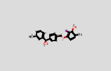 CC(=O)c1ccc(OCc2ccc(C(O)c3cccc(C#N)c3)cc2)c(I)c1O